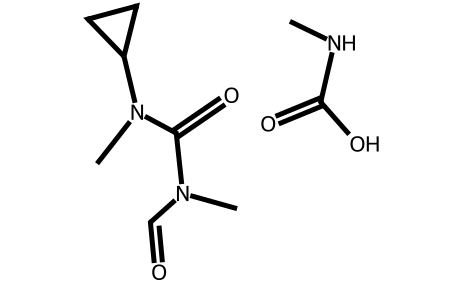 CN(C=O)C(=O)N(C)C1CC1.CNC(=O)O